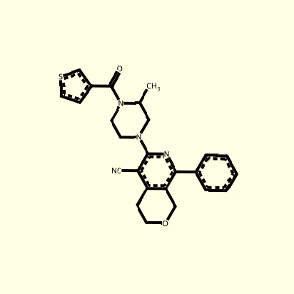 CC1CN(c2nc(-c3ccccc3)c3c(c2C#N)CCOC3)CCN1C(=O)c1ccsc1